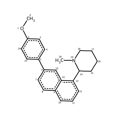 COc1ccc(-c2ccc3cccc(C4CCCCN4C)c3c2)cc1